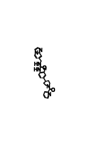 O=C(NCc1ccn2ccnc2c1)Nc1ccc(C2CCN(C(=O)c3ccccn3)CC2)cc1F